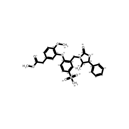 COC(=O)Cc1ccc(OC)c(Oc2ccc(S(C)(=O)=O)cc2CN2C(=O)OC(c3ccccc3)C2C)c1